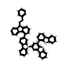 c1ccc(CCC2c3ccccc3-c3c(-c4ccc5c6ccccc6n(-c6cc(-c7cccc8c7oc7ccccc78)c7sc8ccccc8c7c6)c5c4)cccc32)cc1